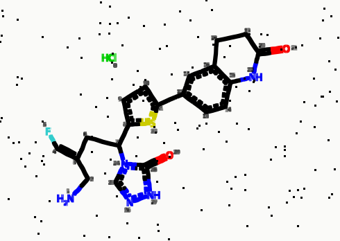 Cl.NC/C(=C/F)CC(c1ccc(-c2ccc3c(c2)CCC(=O)N3)s1)n1cn[nH]c1=O